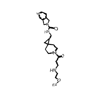 CCOCCNCCC(=O)N1CCC2(CC1)CC2CNC(=O)N1Cc2ccncc2C1